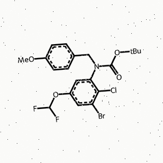 COc1ccc(CN(C(=O)OC(C)(C)C)c2cc(OC(F)F)cc(Br)c2Cl)cc1